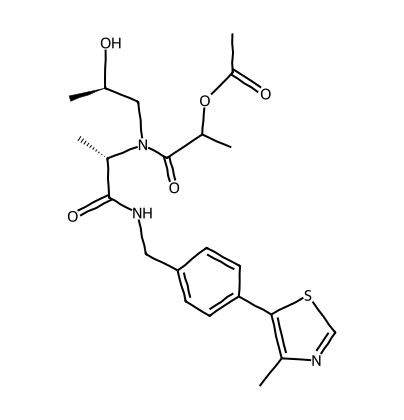 CC(=O)OC(C)C(=O)N(C[C@@H](C)O)[C@@H](C)C(=O)NCc1ccc(-c2scnc2C)cc1